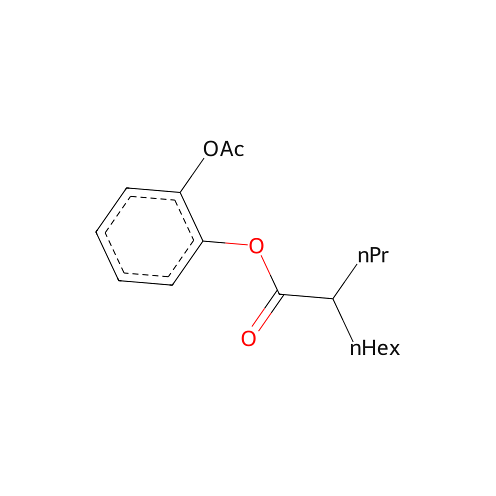 CCCCCCC(CCC)C(=O)Oc1ccccc1OC(C)=O